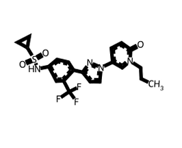 CCCn1cc(-n2ccc(-c3ccc(NS(=O)(=O)C4CC4)cc3C(F)(F)F)n2)ccc1=O